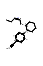 CC/C=C\C[C@@H]1CCCC[C@H]1c1ccc(C#N)cc1